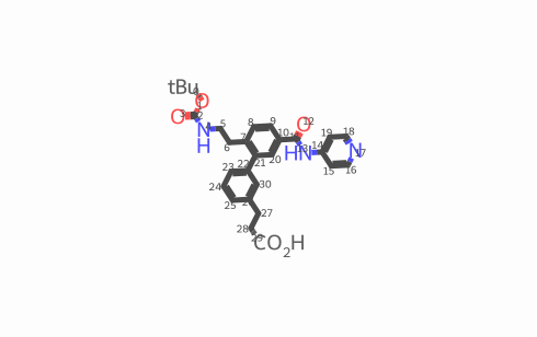 CC(C)(C)OC(=O)NCCc1ccc(C(=O)Nc2ccncc2)cc1-c1cccc(CCC(=O)O)c1